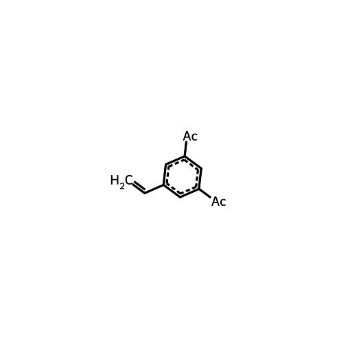 C=Cc1cc(C(C)=O)cc(C(C)=O)c1